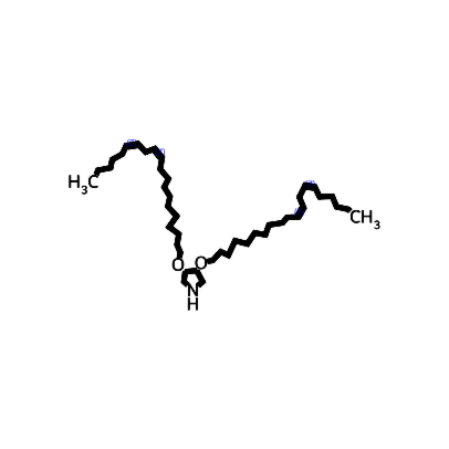 CCCCC/C=C\C/C=C\CCCCCCCCCCOC1CNCC1OCCCCCCCCCC/C=C\C/C=C\CCCCC